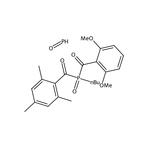 CCCCP(=O)(C(=O)c1c(C)cc(C)cc1C)C(=O)c1c(OC)cccc1OC.O=P